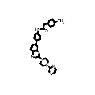 Cc1ccc(CC(=O)Nc2ccc(-c3ccc4ncc(N5CCN(c6cnccn6)CC5)nc4c3)cc2)cc1